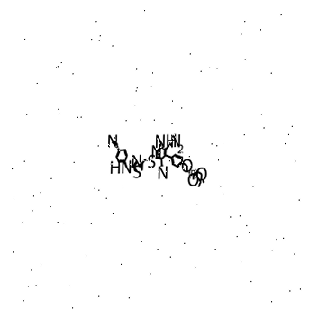 CC1(C)OC[C@@H](COc2ccc(-c3c(C#N)c(N)nc(SCc4csc(Nc5ccc(C#N)cc5)n4)c3C#N)cc2)O1